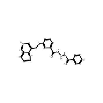 O=C(NNOC(=O)c1cccc(OCc2cncc3ccccc23)c1)c1ccccc1